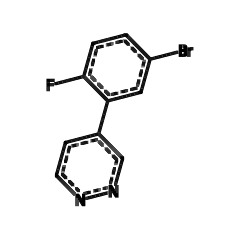 Fc1ccc(Br)cc1-c1ccnnc1